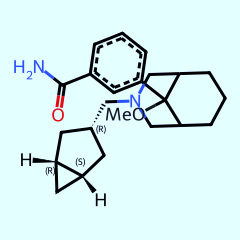 COC1(c2cccc(C(N)=O)c2)C2CCCC1CN(C[C@@H]1C[C@@H]3C[C@@H]3C1)C2